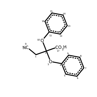 N#CCC(Oc1ccccc1)(Oc1ccccc1)C(=O)O